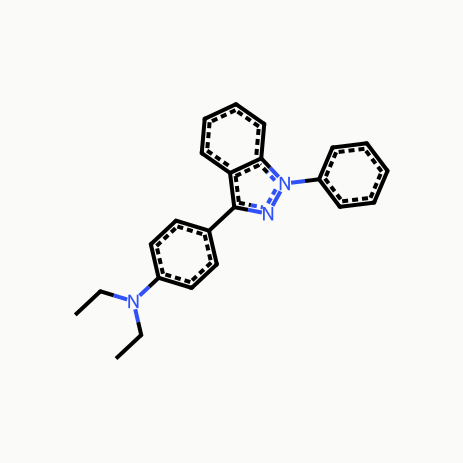 CCN(CC)c1ccc(-c2nn(-c3ccccc3)c3ccccc23)cc1